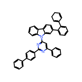 C1=CC(c2ccccc2-c2ccc3c4ccccc4n(-c4cc(-c5ccccc5)nc(-c5ccc(-c6ccccc6)cc5)n4)c3c2)=CCC1